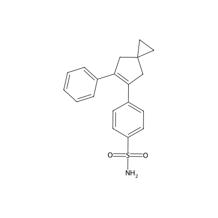 NS(=O)(=O)c1ccc(C2=C(c3ccccc3)CC3(CC3)C2)cc1